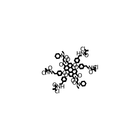 C=C(Cl)C(=O)NCCc1ccc(Oc2cc3c4c(cc(Oc5ccc(CCNC(=O)C(=C)Cl)cc5)c5c6c(Oc7ccc(CCNC(=O)C(=C)Cl)cc7)cc7c8c(cc(Oc9ccc(CCNC(=O)C(=C)Cl)cc9)c(c2c45)c86)C(=O)N(CC(=O)N(CC)C2CCCCC2)C7=O)C(=O)N(CC(=O)N(CC)C2CCCCC2)C3=O)cc1